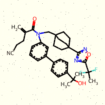 C=C(CCC#N)C(=O)N(CC12CCC(c3noc(C(C)(F)F)n3)(CC1)CC2)c1cccc(-c2ccc(C(C)(C)O)cc2)c1